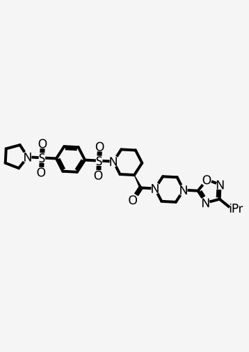 CC(C)c1noc(N2CCN(C(=O)[C@@H]3CCCN(S(=O)(=O)c4ccc(S(=O)(=O)N5CCCC5)cc4)C3)CC2)n1